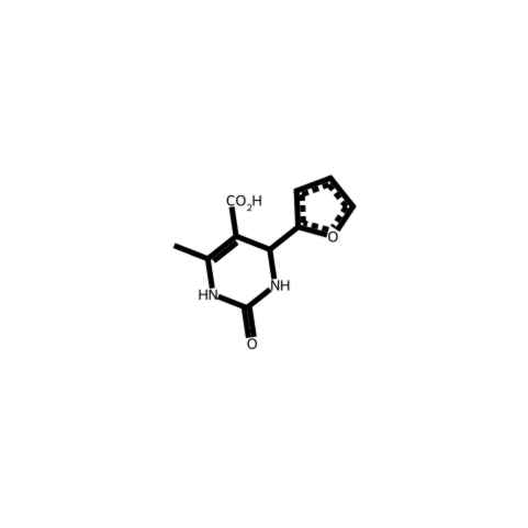 CC1=C(C(=O)O)C(c2ccco2)NC(=O)N1